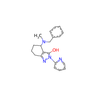 CN(Cc1ccccc1)C1CCCc2nn(-c3ccccn3)c(O)c21